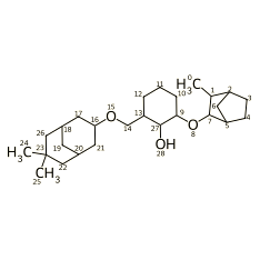 CC1C2CCC(C2)C1OC1CCCC(COC2CC3CC(C2)CC(C)(C)C3)C1O